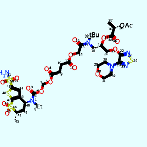 CCN(C(=O)OCOC(=O)CCC(=O)OCC(=O)N(C[C@@H](COc1nsnc1N1CCOCC1)OC(=O)[C@H](C)OC(C)=O)C(C)(C)C)[C@H]1C[C@H](C)S(=O)(=O)c2sc(S(N)(=O)=O)cc21